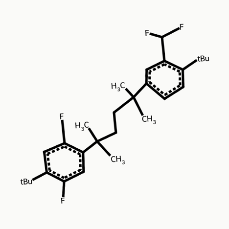 CC(C)(C)c1cc(F)c(C(C)(C)CCC(C)(C)c2ccc(C(C)(C)C)c(C(F)F)c2)cc1F